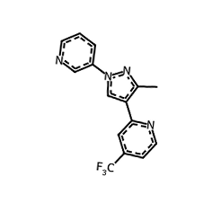 Cc1nn(-c2cccnc2)cc1-c1cc(C(F)(F)F)ccn1